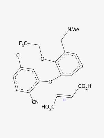 CNCc1cccc(Oc2cc(Cl)ccc2C#N)c1OCC(F)(F)F.O=C(O)/C=C/C(=O)O